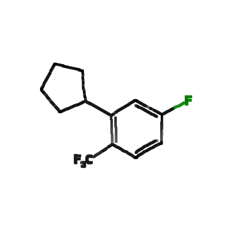 Fc1ccc(C(F)(F)F)c(C2CCCC2)c1